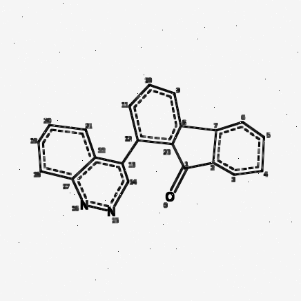 O=C1c2ccccc2-c2cccc(-c3cnnc4ccccc34)c21